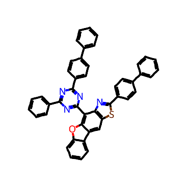 c1ccc(-c2ccc(-c3nc(-c4ccccc4)nc(-c4c5nc(-c6ccc(-c7ccccc7)cc6)sc5cc5c4oc4ccccc45)n3)cc2)cc1